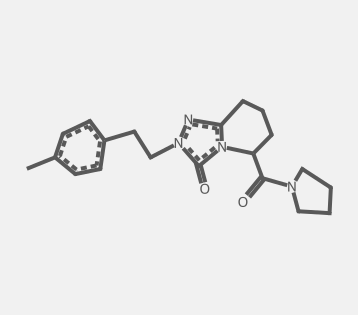 Cc1ccc(CCn2nc3n(c2=O)C(C(=O)N2CCCC2)CCC3)cc1